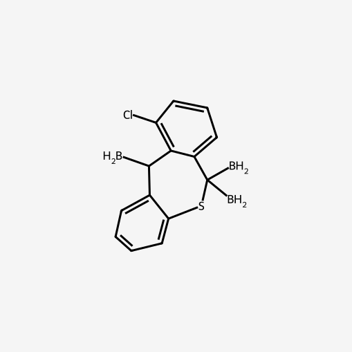 BC1c2ccccc2SC(B)(B)c2cccc(Cl)c21